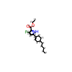 CCCCCC1CC=C(c2cc(F)c(C(=O)OCC)[nH]2)CC1